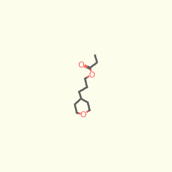 CCC(=O)OCCCC1CCOCC1